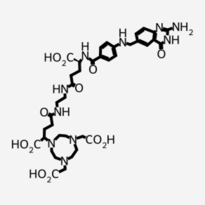 Nc1nc2ccc(CNc3ccc(C(=O)N[C@@H](CCC(=O)NCCNC(=O)CCC(C(=O)O)N4CCN(CC(=O)O)CCN(CC(=O)O)CC4)C(=O)O)cc3)cc2c(=O)[nH]1